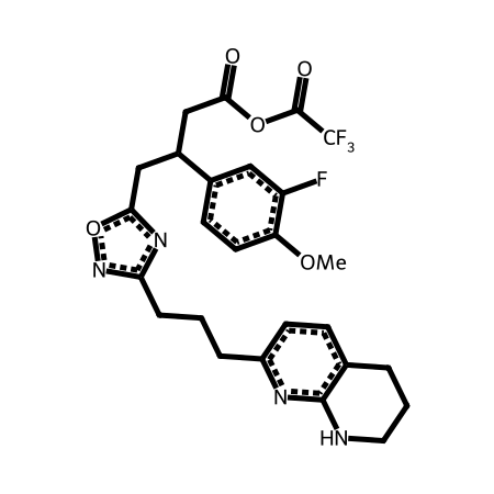 COc1ccc(C(CC(=O)OC(=O)C(F)(F)F)Cc2nc(CCCc3ccc4c(n3)NCCC4)no2)cc1F